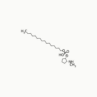 CCCCCCCCCCCCCCCCOP(=O)(O)O[C@H]1CCC[C@H]1NC